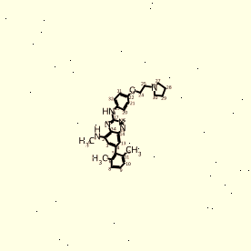 CNc1cc(-c2c(C)cccc2C)cc2nnc(Nc3ccc(OCCN4CCCC4)cc3)nc12